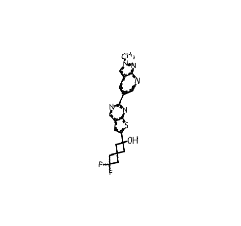 Cn1cc2cc(-c3ncc4cc(C5(O)CC6(CC(F)(F)C6)C5)sc4n3)cnc2n1